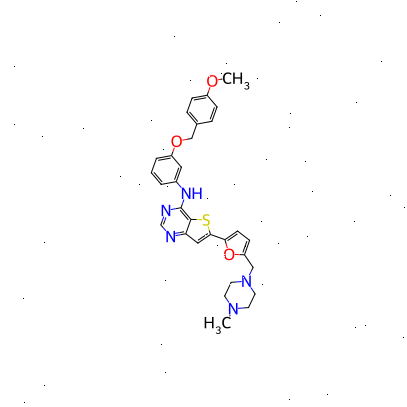 COc1ccc(COc2cccc(Nc3ncnc4cc(-c5ccc(CN6CCN(C)CC6)o5)sc34)c2)cc1